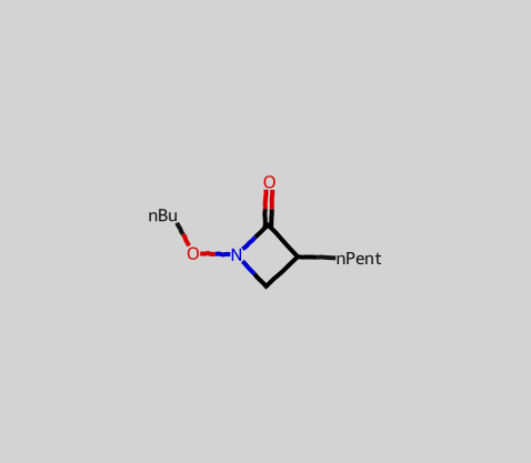 CCCCCC1CN(OCCCC)C1=O